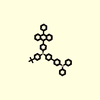 CC(C)(C)c1ccc(N(c2ccc(-c3ccc(N(c4ccccc4)c4ccccc4)cc3)cc2)c2ccc(-c3c4ccccc4c(-c4ccccc4)c4ccccc34)cc2)cc1